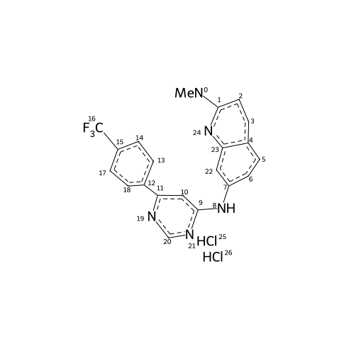 CNc1ccc2ccc(Nc3cc(-c4ccc(C(F)(F)F)cc4)ncn3)cc2n1.Cl.Cl